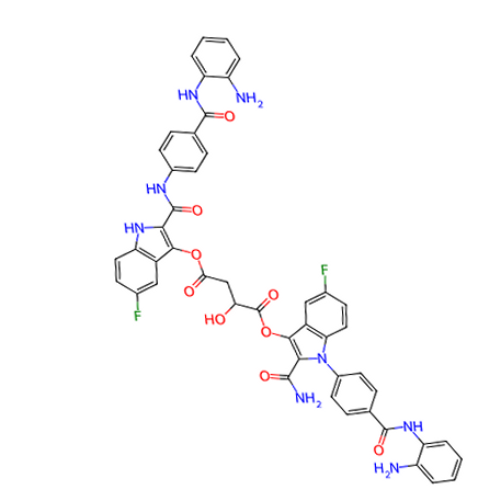 NC(=O)c1c(OC(=O)C(O)CC(=O)Oc2c(C(=O)Nc3ccc(C(=O)Nc4ccccc4N)cc3)[nH]c3ccc(F)cc23)c2cc(F)ccc2n1-c1ccc(C(=O)Nc2ccccc2N)cc1